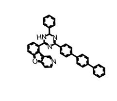 c1ccc(-c2ccc(-c3ccc(C4=NC(c5ccccc5)NC(c5cccc6oc7ccncc7c56)=N4)cc3)cc2)cc1